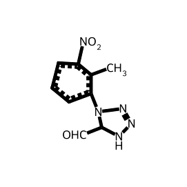 Cc1c(N2N=NNC2C=O)cccc1[N+](=O)[O-]